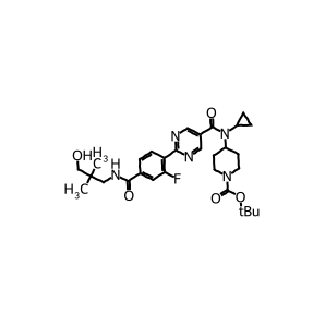 CC(C)(CO)CNC(=O)c1ccc(-c2ncc(C(=O)N(C3CC3)C3CCN(C(=O)OC(C)(C)C)CC3)cn2)c(F)c1